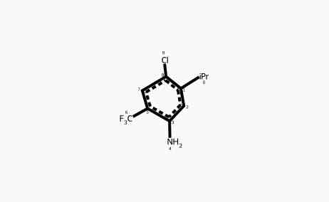 CC(C)c1cc(N)c(C(F)(F)F)cc1Cl